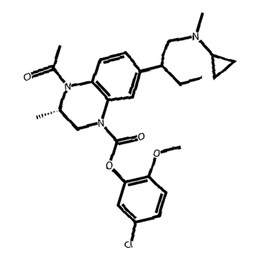 CCC(CN(C)C1CC1)c1ccc2c(c1)N(C(=O)Oc1cc(Cl)ccc1OC)C[C@H](C)N2C(C)=O